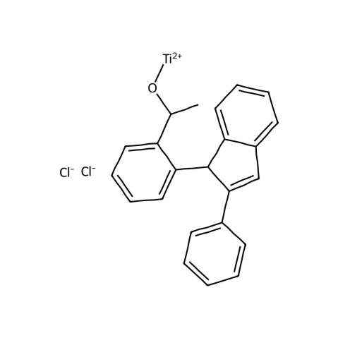 CC([O][Ti+2])c1ccccc1C1C(c2ccccc2)=Cc2ccccc21.[Cl-].[Cl-]